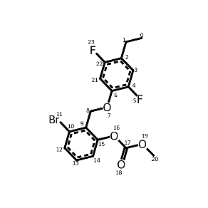 CCc1cc(F)c(OCc2c(Br)cccc2OC(=O)OC)cc1F